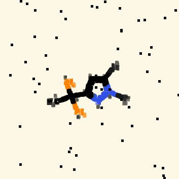 CCc1cc(C(C)(P)P)nn1C(C)C